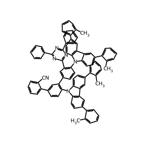 Cc1ccccc1-c1ccc2c(c1)c1cc(-c3ccccc3C)ccc1n2-c1ccc(-c2ccccc2C#N)cc1-c1ccc(-n2c3ccc(-c4ccccc4C)cc3c3cc(-c4ccccc4C)ccc32)c(-c2nc(-c3ccccc3)nc(-c3ccccc3)n2)c1